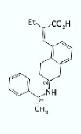 CCC(=Cc1cccc2c1CC[C@H](N[C@H](C)c1ccccc1)C2)C(=O)O